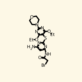 CCOc1nc(N2CCOCC2)nc(OCC)c1Sc1nc(N)cc(NC(=O)CBr)n1